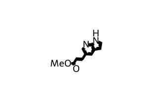 COC(=O)C=Cc1cnc2[nH]ccc2c1